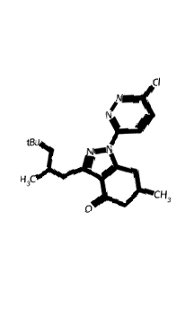 CC1CC(=O)c2c(CC(C)CC(C)(C)C)nn(-c3ccc(Cl)nn3)c2C1